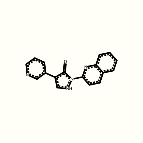 O=c1c(-c2cccnc2)c[nH]n1-c1ccc2ccccc2n1